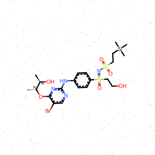 C[C@@H](O)[C@@H](C)Oc1nc(Nc2ccc(S(=O)(CCO)=NS(=O)(=O)CC[Si](C)(C)C)cc2)ncc1Br